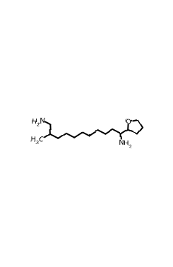 CC(CN)CCCCCCCCC(N)C1CCCO1